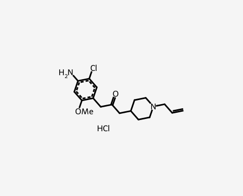 C=CCN1CCC(CC(=O)Cc2cc(Cl)c(N)cc2OC)CC1.Cl